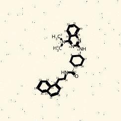 CN(C)c1nc(N[C@H]2CC[C@@H](C(=O)NCCc3cccc4ccccc34)CC2)nc2ccccc12